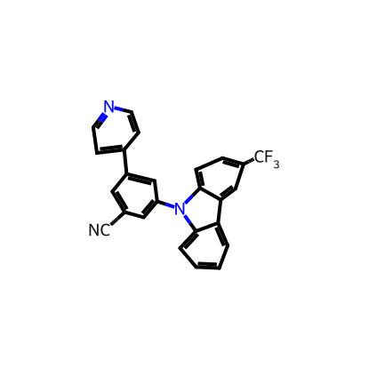 N#Cc1cc(-c2ccncc2)cc(-n2c3ccccc3c3cc(C(F)(F)F)ccc32)c1